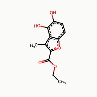 CCOC(=O)c1oc2ccc(O)c(O)c2c1C